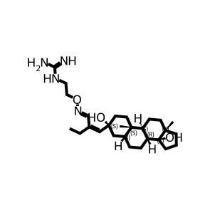 CCC(C=NOCCNC(=N)N)=C[C@]1(O)CC[C@@]2(C)[C@H](CC[C@@H]3[C@@H]2CC[C@]2(C)CCC[C@]32O)C1